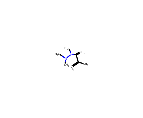 C=C(C)C(=C)N(C)N(C)C